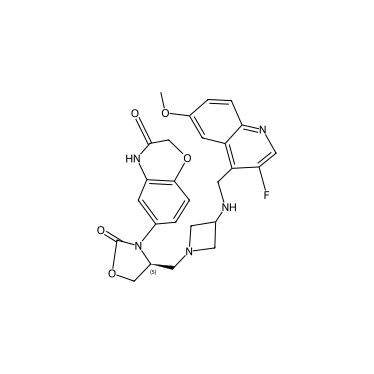 COc1ccc2ncc(F)c(CNC3CN(C[C@H]4COC(=O)N4c4ccc5c(c4)NC(=O)CO5)C3)c2c1